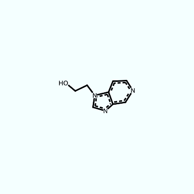 OCCn1cnc2cnccc21